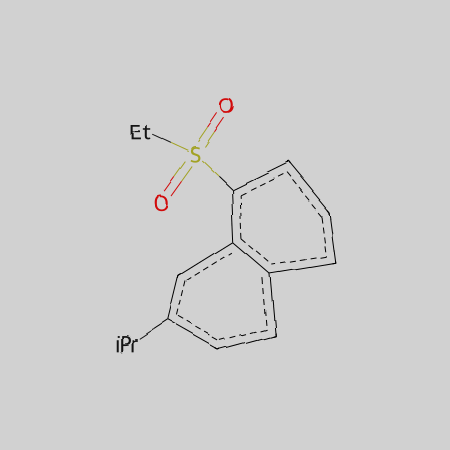 CCS(=O)(=O)c1cccc2ccc(C(C)C)cc12